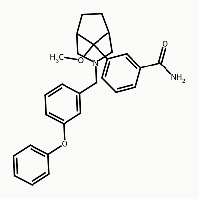 COC1(c2cccc(C(N)=O)c2)C2CCC1CN(Cc1cccc(Oc3ccccc3)c1)C2